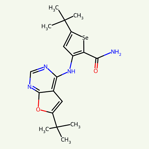 CC(C)(C)c1cc2c(Nc3cc(C(C)(C)C)[se]c3C(N)=O)ncnc2o1